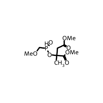 COC[PH](=O)OC(C)(CC(=O)OC)C(=O)OC